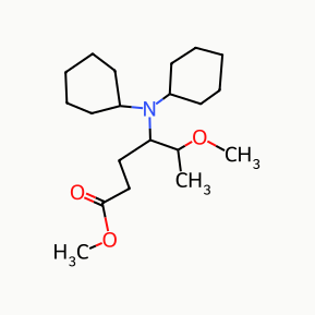 COC(=O)CCC(C(C)OC)N(C1CCCCC1)C1CCCCC1